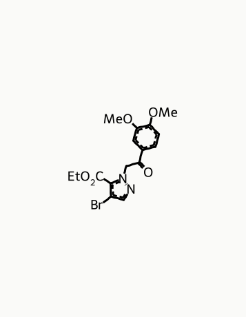 CCOC(=O)c1c(Br)cnn1CC(=O)c1ccc(OC)c(OC)c1